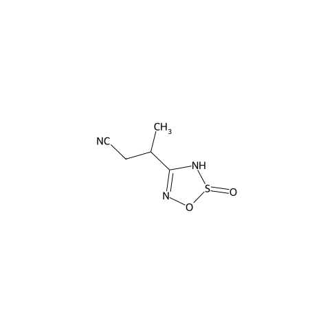 CC(CC#N)C1=NOS(=O)N1